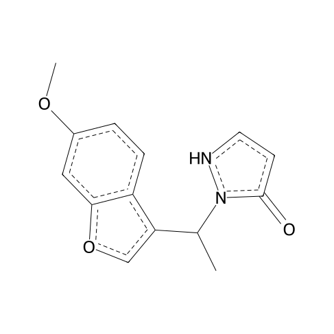 COc1ccc2c(C(C)n3[nH]ccc3=O)coc2c1